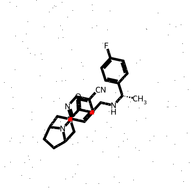 C[C@H](NCCC(=O)N1CC2CCC(C1)N2c1ccc(C#N)cn1)c1ccc(F)cc1